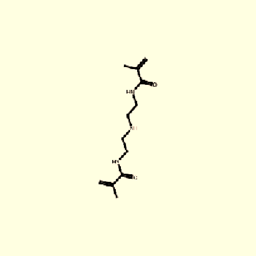 C=C(C)C(=O)NCCNCCNC(=O)C(=C)C